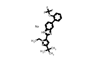 CCn1nc(C(C)(C)C)cc1-c1nc2cc(-c3ccccc3OC(F)(F)F)ccc2[nH]1.[Na]